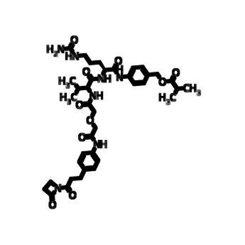 CC(C)C(=O)OCc1ccc(NC(=O)[C@H](CCCNC(N)=O)NC(=O)C(NC(=O)COCC(=O)Nc2ccc(CCC(=O)N3CCC3=O)cc2)C(C)C)cc1